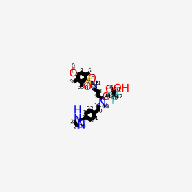 COc1cc(C)c(S(=O)(=O)N(C)CCCC(=O)N(C)CCc2ccc(C3=NCCN3)cc2)c(C)c1C.O=C(O)C(F)(F)F